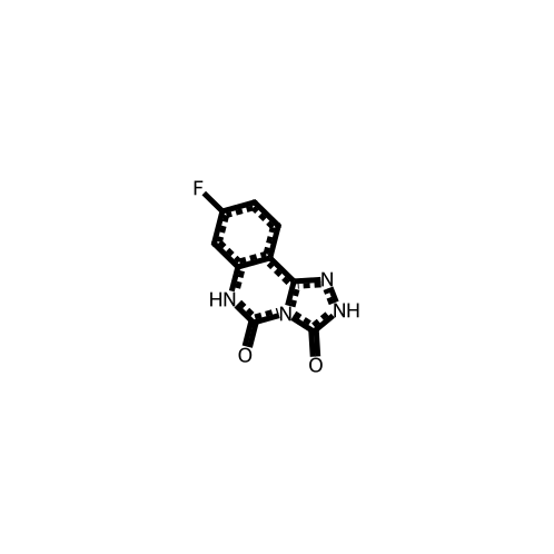 O=c1[nH]nc2c3ccc(F)cc3[nH]c(=O)n12